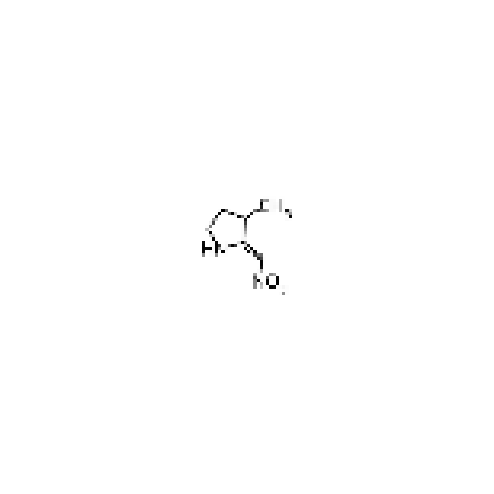 CC1CCN/C1=C\[N+](=O)[O-]